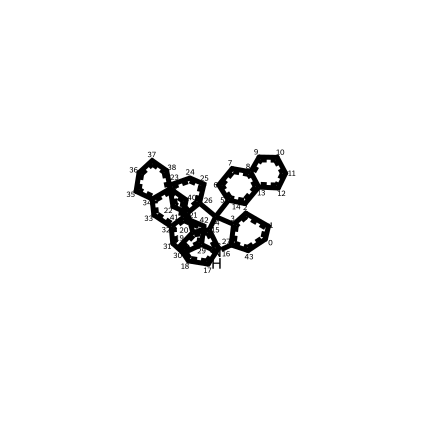 c1ccc(C2(c3ccc4ccccc4c3)c3ccccc3-c3ccccc32)c(Nc2ccc3cc4ccccc4cc3c2)c1